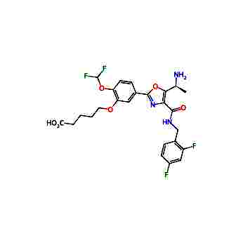 C[C@H](N)c1oc(-c2ccc(OC(F)F)c(OCCCCC(=O)O)c2)nc1C(=O)NCc1ccc(F)cc1F